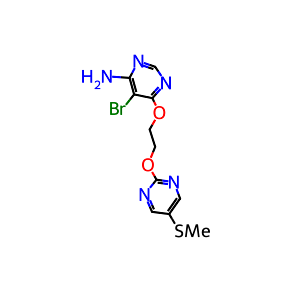 CSc1cnc(OCCOc2ncnc(N)c2Br)nc1